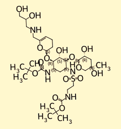 CC(C)(C)OC(=O)NCCS(=O)(=O)N[C@@H]1C[C@H](NC(=O)OC(C)(C)C)[C@@H](O[C@@H]2CCC=C(CNCC(O)CO)O2)[C@H](O)[C@H]1O[C@H]1OC[C@](C)(O)C[C@H]1O